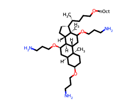 CCCCCCCCOCCC[C@@H](C)[C@H]1CC[C@H]2[C@@H]3[C@H](OCCCN)C[C@@H]4C[C@H](OCCCN)CC[C@]4(C)[C@H]3CC(OCCCN)[C@]12C